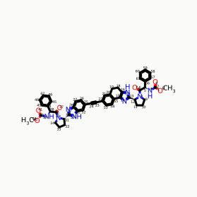 COC(=O)N[C@H](C(=O)N1CCC[C@H]1c1nc2c([nH]1)CCc1cc(C#Cc3ccc4nc([C@@H]5CCCN5C(=O)[C@@H](NC(=O)OC)c5ccccc5)[nH]c4c3)ccc1-2)c1ccccc1